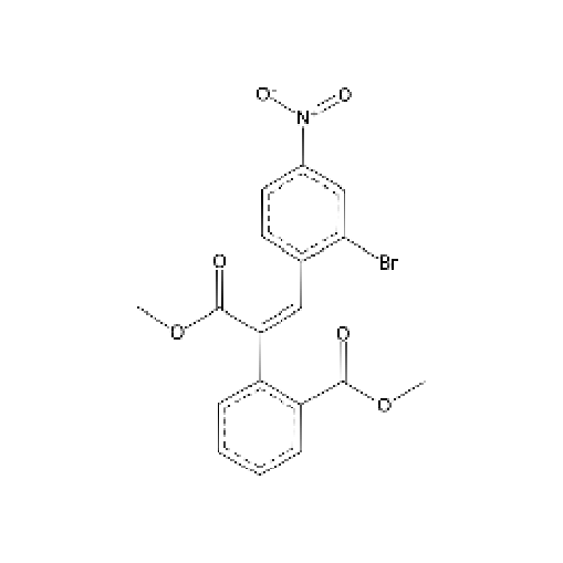 COC(=O)C(=Cc1ccc([N+](=O)[O-])cc1Br)c1ccccc1C(=O)OC